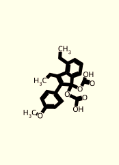 CCC1=C(c2ccc(OC)cc2)C(OC(=O)O)(OC(=O)O)c2cccc(CC)c21